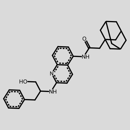 O=C(CC12CC3CC(CC(C3)C1)C2)Nc1cccc2nc(NC(CO)Cc3ccccc3)ccc12